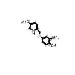 COC1=CC=C(COc2ccc(O)c(N)c2)NC1